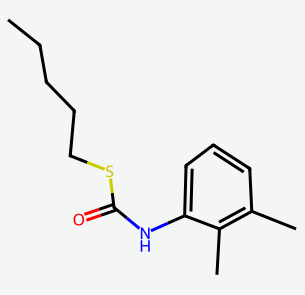 CCCCCSC(=O)Nc1cccc(C)c1C